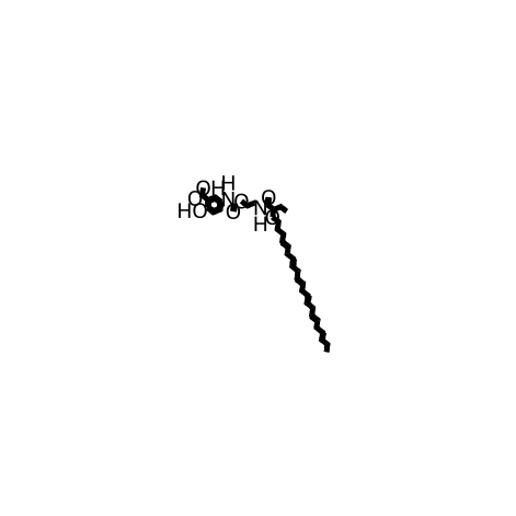 CCC=CCC=CCC=CCC=CCC=CCC=CCCCOC(CC)C(=O)NCCOC(=O)Nc1ccc(O)c(C(=O)O)c1